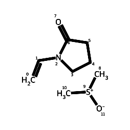 C=CN1CCCC1=O.C[S+](C)[O-]